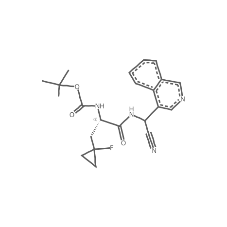 CC(C)(C)OC(=O)N[C@@H](CC1(F)CC1)C(=O)NC(C#N)c1cncc2ccccc12